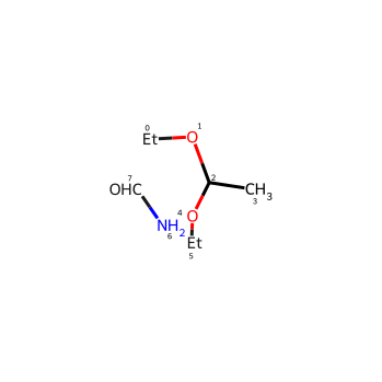 CCOC(C)OCC.NC=O